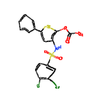 O=C(O)Oc1sc(-c2ccccc2)cc1NS(=O)(=O)c1ccc(Cl)c(Cl)c1